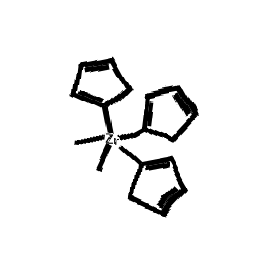 [CH3][Zr]([CH3])([C]1=CC=CC1)([C]1=CC=CC1)[C]1=CC=CC1